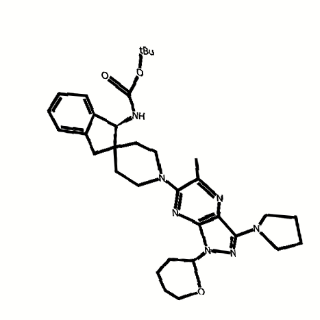 Cc1nc2c(N3CCCC3)nn(C3CCCCO3)c2nc1N1CCC2(CC1)Cc1ccccc1[C@H]2NC(=O)OC(C)(C)C